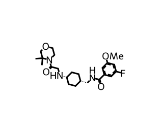 COc1cc(F)cc(C(=O)NC[C@H]2CC[C@@H](NCC(=O)N3CCOCC3(C)C)CC2)c1